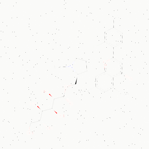 COc1cc(OC)c2c(=O)cc(-c3ccc([N+](=O)[O-])cc3Cl)oc2c1[C@H]1CCN(C)[C@@H]1COC(=O)[C@H](O)[C@@H](O)[C@H](O)[C@H](O)CO